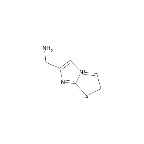 NCC1=C[N+]2=CCSC2=N1